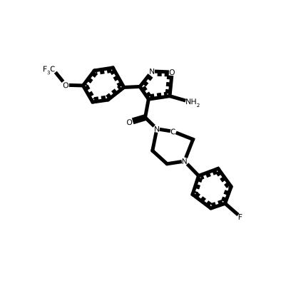 Nc1onc(-c2ccc(OC(F)(F)F)cc2)c1C(=O)N1CCN(c2ccc(F)cc2)CC1